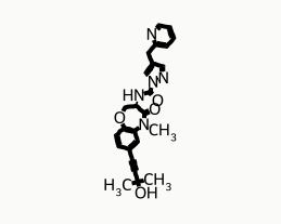 CN1C(=O)[C@@H](NC(=O)n2cc(Cc3ccccn3)cn2)COc2ccc(C#CC(C)(C)O)cc21